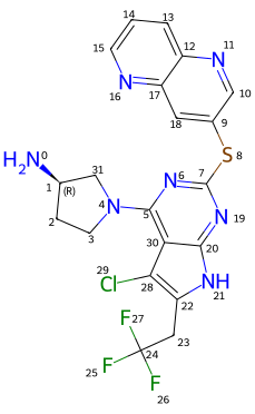 N[C@@H]1CCN(c2nc(Sc3cnc4cccnc4c3)nc3[nH]c(CC(F)(F)F)c(Cl)c23)C1